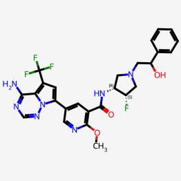 COc1ncc(-c2cc(C(F)(F)F)c3c(N)ncnn23)cc1C(=O)N[C@@H]1CN(CC(O)c2ccccc2)C[C@@H]1F